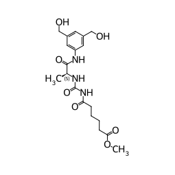 COC(=O)CCCCC(=O)NC(=O)N[C@@H](C)C(=O)Nc1cc(CO)cc(CO)c1